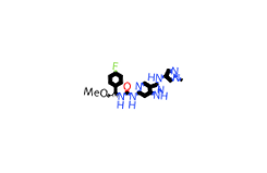 COC[C@@H](NC(=O)Nc1cc2[nH]nc(Nc3cnn(C)c3)c2cn1)c1ccc(F)cc1